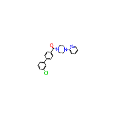 O=C(c1ccc(-c2cccc(Cl)c2)cc1)N1CCN(c2ccccn2)CC1